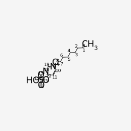 CCCCCCCCO[n+]1ccc(OS(=O)(=O)O)nc1